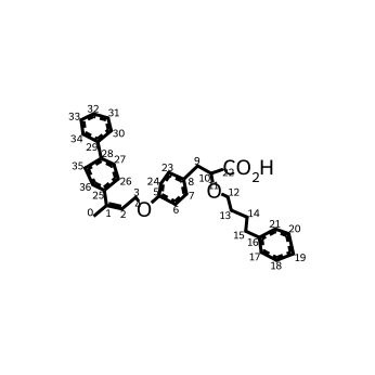 C/C(=C/COc1ccc(CC(OCCCCc2ccccc2)C(=O)O)cc1)c1ccc(-c2ccccc2)cc1